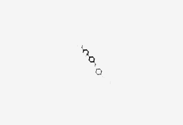 CCCc1ccc(-c2ccc(CC[C@H]3CC[C@H](CC)CC3)cc2)nc1